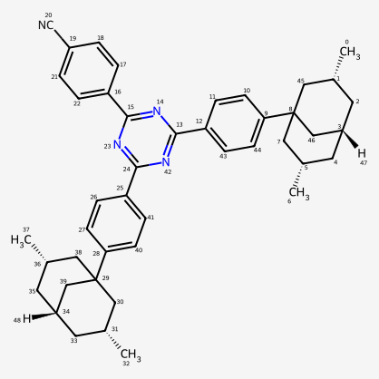 C[C@@H]1C[C@@H]2C[C@H](C)CC(c3ccc(-c4nc(-c5ccc(C#N)cc5)nc(-c5ccc(C67C[C@H](C)C[C@H](C[C@H](C)C6)C7)cc5)n4)cc3)(C1)C2